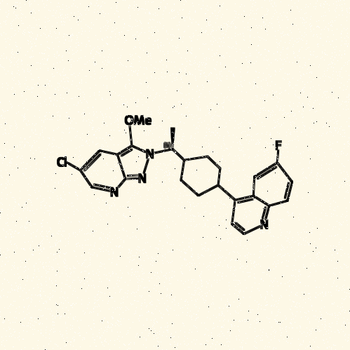 COc1c2cc(Cl)cnc2nn1[C@@H](C)C1CCC(c2ccnc3ccc(F)cc23)CC1